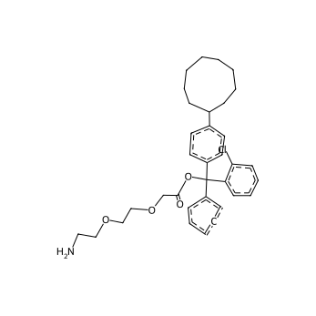 NCCOCCOCC(=O)OC(c1ccccc1)(c1ccc(C2CCCCCCCC2)cc1)c1ccccc1Cl